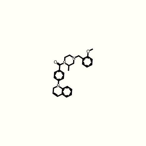 COc1ccccc1CN1CCN(C(=O)c2ccc(N3CC=Cc4ccccc43)cc2)C(C)C1